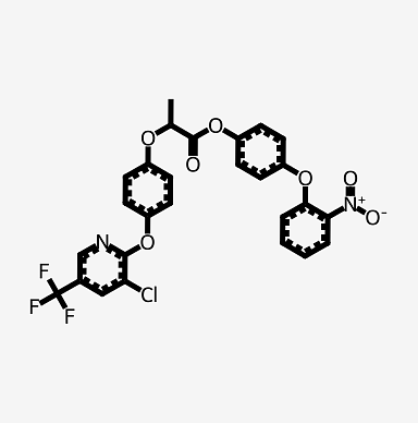 CC(Oc1ccc(Oc2ncc(C(F)(F)F)cc2Cl)cc1)C(=O)Oc1ccc(Oc2ccccc2[N+](=O)[O-])cc1